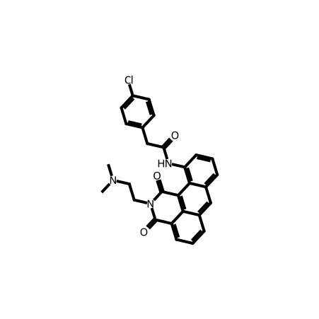 CN(C)CCN1C(=O)c2cccc3cc4cccc(NC(=O)Cc5ccc(Cl)cc5)c4c(c23)C1=O